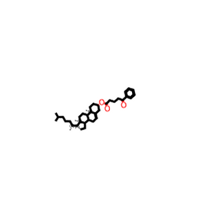 CC(C)CCC[C@@H](C)[C@H]1CCC2C3CC=C4CC(OC(=O)CCCC(=O)c5ccccc5)CC[C@]4(C)C3CC[C@@]21C